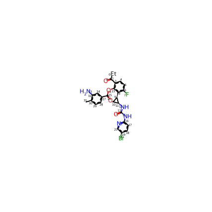 CCC(=O)c1ccc(F)c([C@@H]2C[C@@H]2NC(=O)Nc2ccc(Br)cn2)c1OC(=O)c1ccc(C)c(N)c1